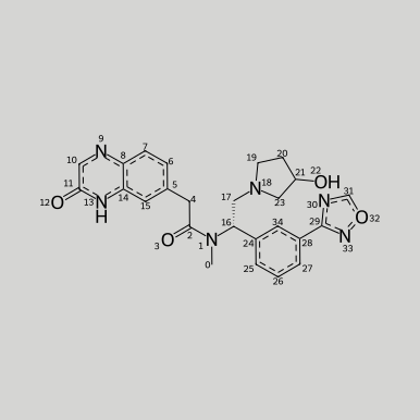 CN(C(=O)Cc1ccc2ncc(=O)[nH]c2c1)[C@H](CN1CCC(O)C1)c1cccc(-c2ncon2)c1